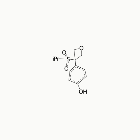 CC(C)S(=O)(=O)C1(c2ccc(O)cc2)COC1